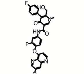 COc1cnc2c(Oc3ccc(NC(=O)c4cn(C)c(CO)c(-c5ccc(F)cc5)c4=O)cc3F)ccnc2c1